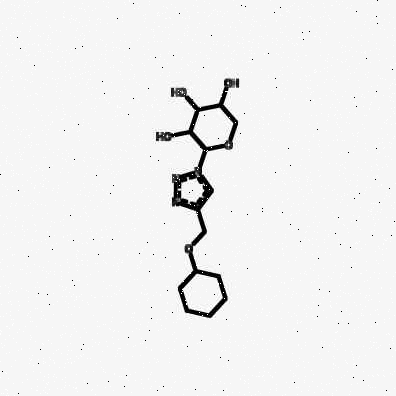 OC1COC(n2cc(COC3CCCCC3)nn2)C(O)C1O